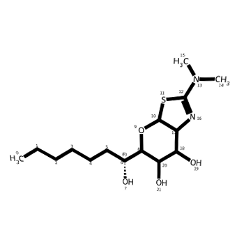 CCCCCC[C@@H](O)C1OC2SC(N(C)C)=NC2C(O)C1O